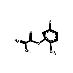 C=C(C)C(=O)Oc1cc(F)ccc1[N+](=O)[O-]